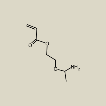 C=CC(=O)OCCOC(C)N